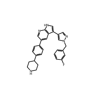 Fc1cccc(Cn2cc(-c3c[nH]c4ncc(-c5ccc(C6CCNCC6)cc5)cc34)cn2)c1